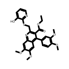 CCOC(=O)c1c(CSc2ncccc2O)nc2cc(OC)c(OC)cc2c1-c1ccc(OC)c(OC)c1